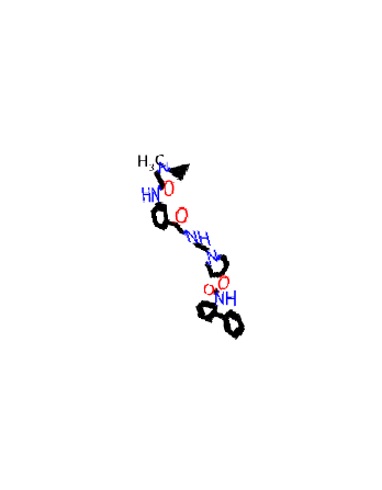 CN(CC(=O)Nc1cccc(C(=O)CNCCN2CCC(OC(=O)Nc3ccccc3-c3ccccc3)CC2)c1)C1CC1